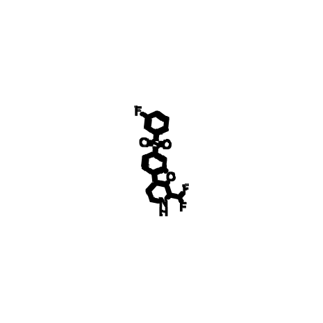 O=S(=O)(c1cccc(F)c1)c1ccc2c3c(oc2c1)C(C(F)F)NCC3